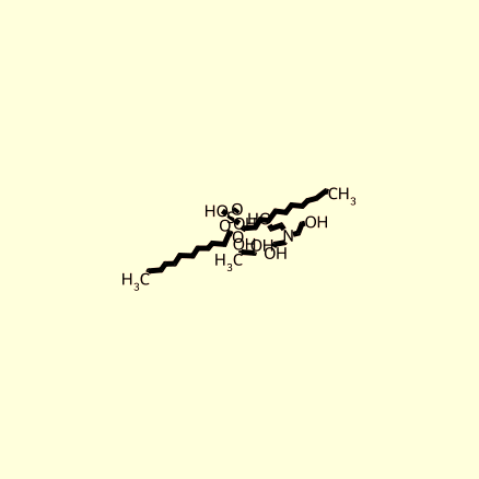 CC(O)CO.CCCCCCCCCCCCOCCCCCCCCCCCC.O=S(=O)(O)O.OCCN(CCO)CCO